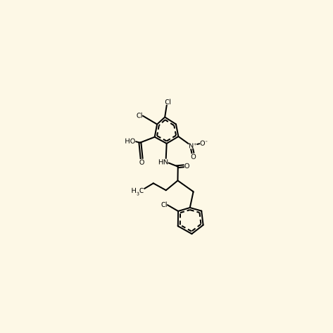 CCCC(Cc1ccccc1Cl)C(=O)Nc1c([N+](=O)[O-])cc(Cl)c(Cl)c1C(=O)O